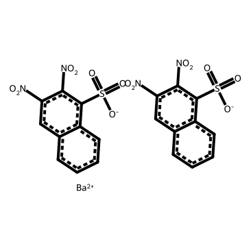 O=[N+]([O-])c1cc2ccccc2c(S(=O)(=O)[O-])c1[N+](=O)[O-].O=[N+]([O-])c1cc2ccccc2c(S(=O)(=O)[O-])c1[N+](=O)[O-].[Ba+2]